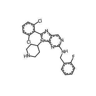 Fc1ccccc1CNc1ncc2nc(-c3c(Cl)cccc3Cl)n(C3CCNCC3)c2n1